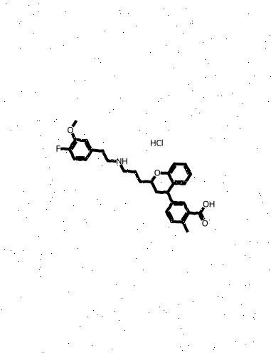 COc1cc(CCNCCCC2CC(c3ccc(C)c(C(=O)O)c3)c3ccccc3O2)ccc1F.Cl